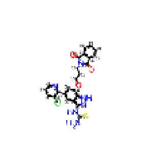 NC(=S)Nc1n[nH]c2c(OCCCN3C(=O)c4ccccc4C3=O)cc(-c3ncccc3Cl)cc12